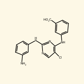 Nc1cccc(Nc2ncc(Cl)c(Nc3cccc(C(=O)O)c3)n2)c1